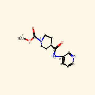 CC(C)(C)OC(=O)N1CCC(C(=O)Nc2cccnc2)CC1